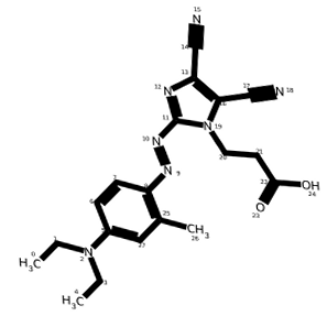 CCN(CC)c1ccc(N=Nc2nc(C#N)c(C#N)n2CCC(=O)O)c(C)c1